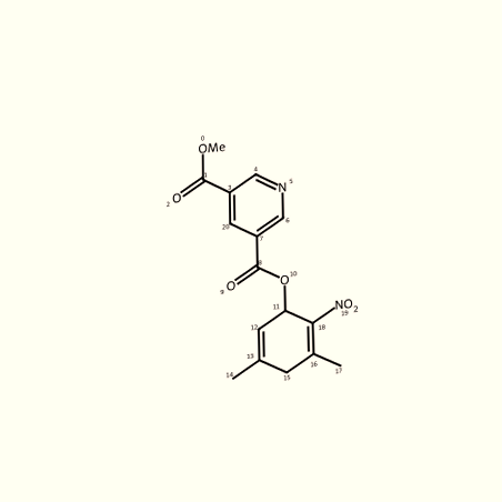 COC(=O)c1cncc(C(=O)OC2C=C(C)CC(C)=C2[N+](=O)[O-])c1